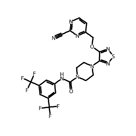 N#Cc1nccc(COc2nsnc2N2CCN(C(=O)Nc3cc(C(F)(F)F)cc(C(F)(F)F)c3)CC2)n1